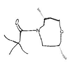 C[C@@H]1CN(C(=O)C(C)(C)C)[C@H](C)CO1